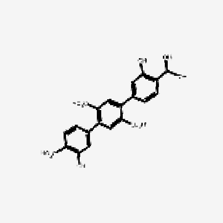 O=C(O)c1ccc(-c2cc(C(=O)O)c(-c3ccc(C(O)O)c(O)c3)cc2C(=O)O)cc1O